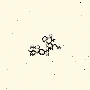 COc1cc(Nc2nc(CC(C)C)c3c(n2)N2CCCC2C(=O)N3C)ccc1-n1cnc(C)c1